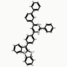 c1ccc(-c2cccc(-c3cc(-c4ccc(-c5c6ccccc6n6c5sc5ccccc56)cc4)nc(-c4ccccc4)n3)c2)cc1